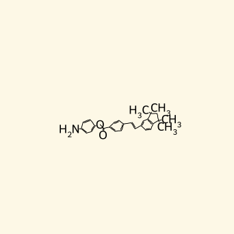 CC1(C)CC(C)(C)c2cc(C=Cc3ccc(C(=O)Oc4ccc(N)cc4)cc3)ccc21